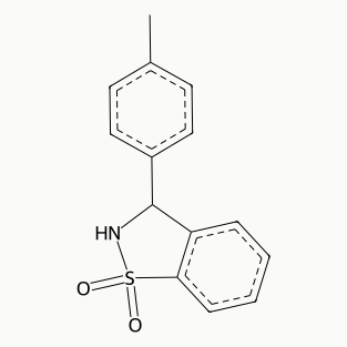 Cc1ccc(C2NS(=O)(=O)c3ccccc32)cc1